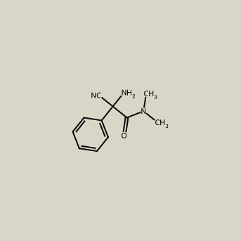 CN(C)C(=O)C(N)(C#N)c1ccccc1